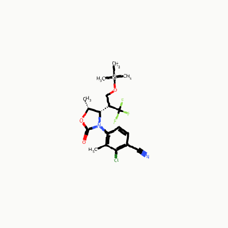 Cc1c(N2C(=O)O[C@H](C)[C@@H]2C(CO[Si](C)(C)C)C(F)(F)F)ccc(C#N)c1Cl